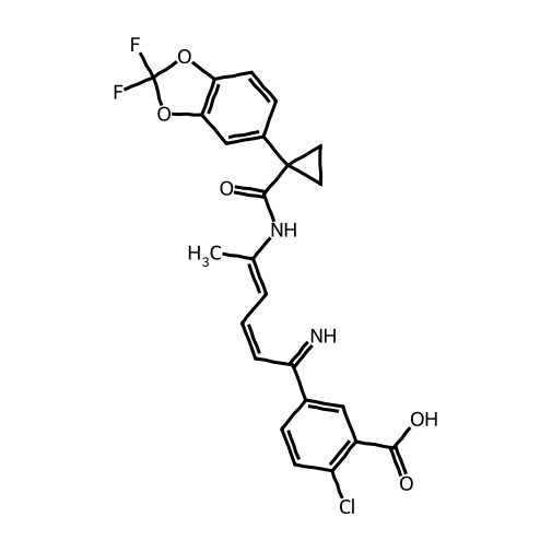 C/C(=C\C=C/C(=N)c1ccc(Cl)c(C(=O)O)c1)NC(=O)C1(c2ccc3c(c2)OC(F)(F)O3)CC1